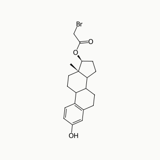 C[C@]12CCC3c4ccc(O)cc4CCC3C1CC[C@@H]2OC(=O)CBr